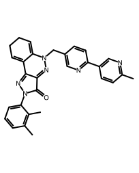 Cc1ccc(-c2ccc(Cn3nc4c(=O)n(-c5cccc(C)c5C)nc-4c4c3=CCCC=4)cn2)cn1